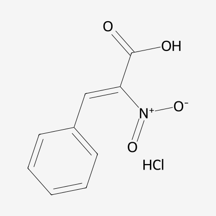 Cl.O=C(O)C(=Cc1ccccc1)[N+](=O)[O-]